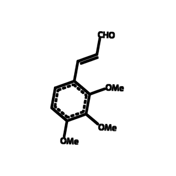 COc1ccc(C=CC=O)c(OC)c1OC